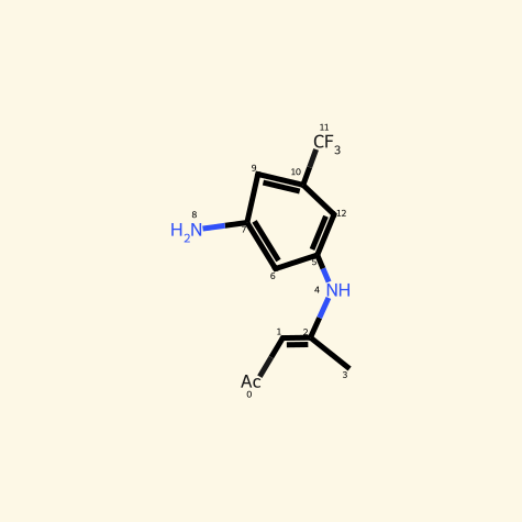 CC(=O)C=C(C)Nc1cc(N)cc(C(F)(F)F)c1